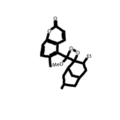 CCC1CC2CC(C)CC(C2)C12OOC2(OC)c1c(C)ccc2oc(=O)ccc12